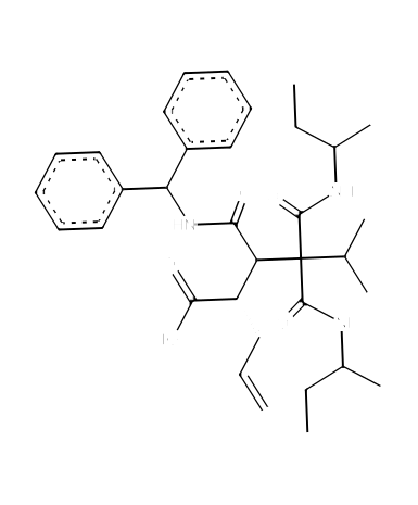 C=CC[C@H](C(=O)O)C(C(=O)NC(c1ccccc1)c1ccccc1)C(C(=O)NC(C)CC)(C(=O)NC(C)CC)C(C)C